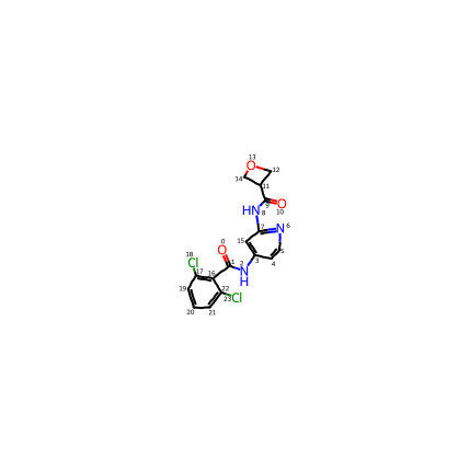 O=C(Nc1ccnc(NC(=O)C2COC2)c1)c1c(Cl)cccc1Cl